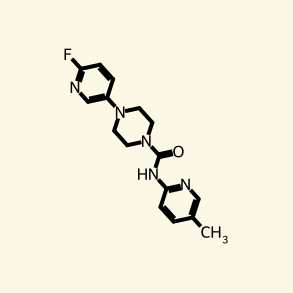 Cc1ccc(NC(=O)N2CCN(c3ccc(F)nc3)CC2)nc1